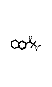 CN(C)C(C)(C)C(=O)c1ccc2c(c1)CCCC2